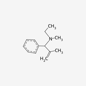 C=C(C)C(c1ccccc1)N(C)CC